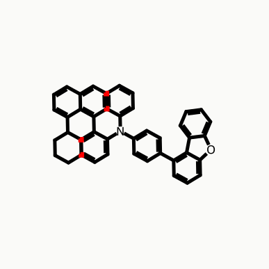 c1ccc(N(c2ccc(-c3cccc4oc5ccccc5c34)cc2)c2ccccc2-c2cccc3cccc(C4CCCCC4)c23)cc1